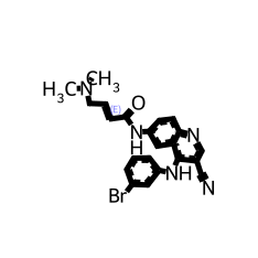 CN(C)C/C=C/C(=O)Nc1ccc2ncc(C#N)c(Nc3cccc(Br)c3)c2c1